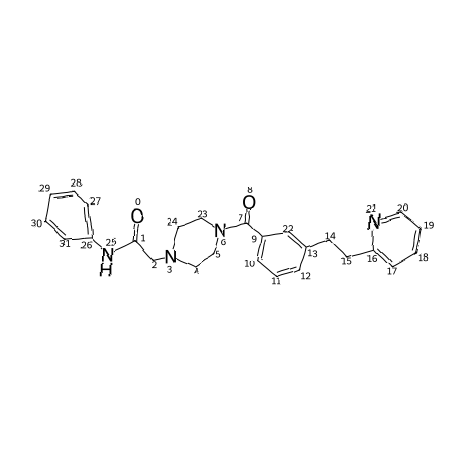 O=C(CN1CCN(C(=O)c2cccc(CCc3ccccn3)c2)CC1)Nc1ccccc1